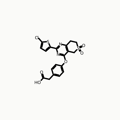 O=C(O)Cc1ccc(Oc2nc(-c3ccc(Cl)s3)nc3c2CS(=O)(=O)CC3)cc1